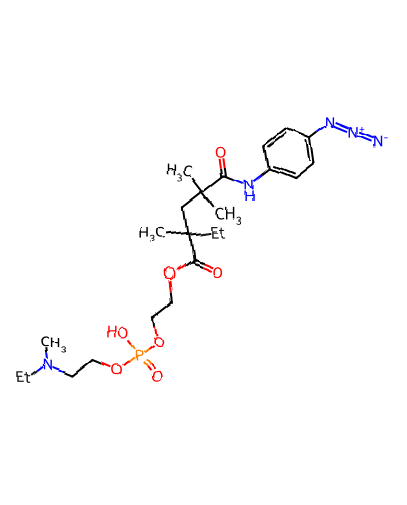 CCN(C)CCOP(=O)(O)OCCOC(=O)C(C)(CC)CC(C)(C)C(=O)Nc1ccc(N=[N+]=[N-])cc1